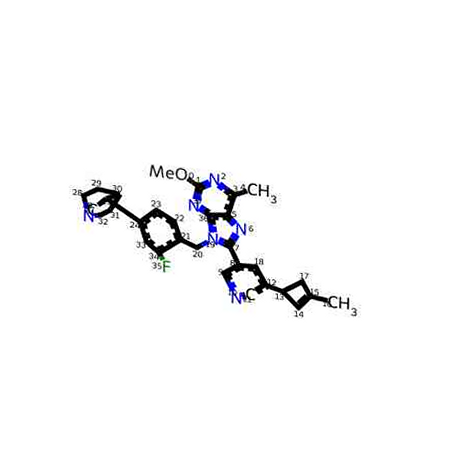 COc1nc(C)c2nc(-c3cncc(C4C=C(C)C4)c3)n(Cc3ccc(C4CN5CCC4CC5)cc3F)c2n1